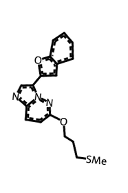 CSCCCOc1ccc2ncc(-c3cc4ccccc4o3)n2n1